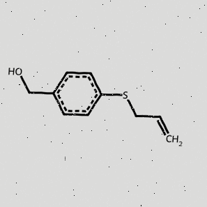 C=CCSc1ccc(CO)cc1